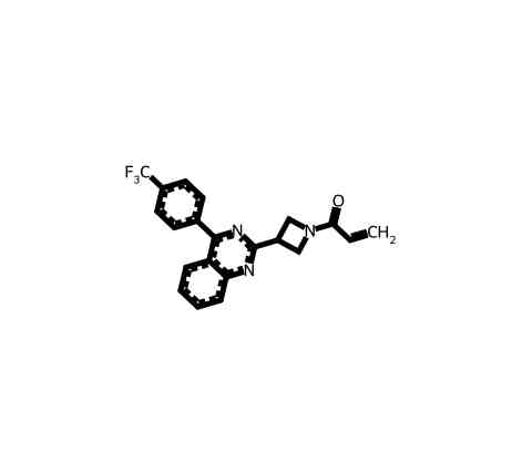 C=CC(=O)N1CC(c2nc(-c3ccc(C(F)(F)F)cc3)c3ccccc3n2)C1